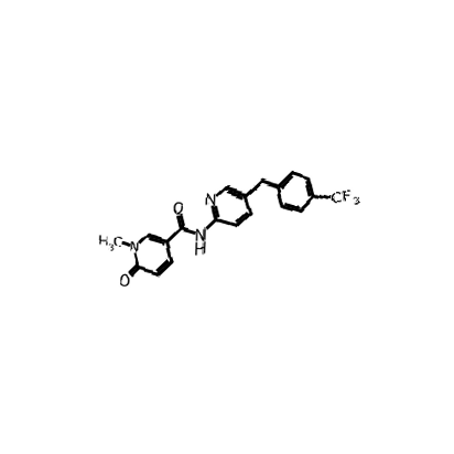 Cn1cc(C(=O)Nc2ccc(Cc3ccc(C(F)(F)F)cc3)cn2)ccc1=O